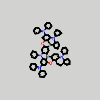 C1=Cc2c(ccc3c2Oc2cc(N(c4ccccc4)c4ccccc4)cc4c2B3c2cc3c(cc2N4c2ccccc2)Oc2cc(N(c4ccccc4)c4ccccc4)cc4c2B3c2ccccc2N4c2ccccc2)N(c2ccccc2)c2ccccc21